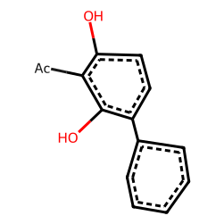 CC(=O)c1c(O)ccc(-c2ccccc2)c1O